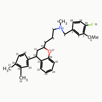 COc1cc(CN(C)CCCC2CC(c3ccc(C)c(C)c3)c3ccccc3O2)ccc1F